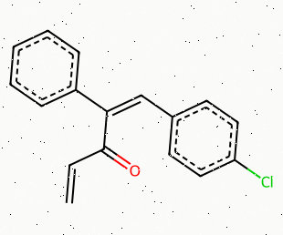 C=CC(=O)/C(=C\c1ccc(Cl)cc1)c1ccccc1